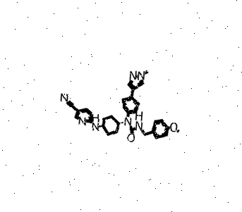 COc1ccc(CNC(=O)N(c2ccc(-c3cnn(C)c3)cc2)[C@H]2CC[C@H](Nc3ccc(C#N)cn3)CC2)cc1